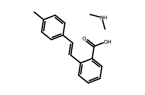 CNC.Cc1ccc(C=Cc2ccccc2C(=O)O)cc1